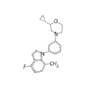 Cc1ccc(F)c2ccn(-c3cccc(N4CCOC(C5CC5)C4)c3)c12